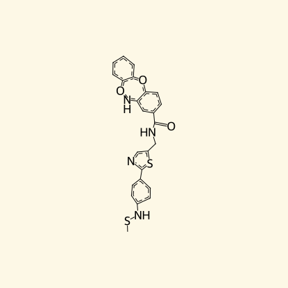 CSNc1ccc(-c2ncc(CNC(=O)c3ccc4oc5ccccc5o[nH]c4c3)s2)cc1